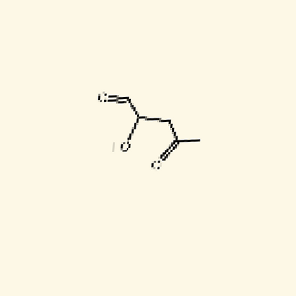 CC(=O)CC(O)C=O